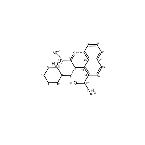 CN(C#N)C(=O)[C@@H](CC1CCCCC1)c1c(C(N)=O)ccc2ccccc12